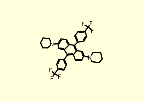 FC(F)(F)c1ccc(-c2c3ccc(N4CCCCC4)cc3c(-c3ccc(C(F)(F)F)cc3)c3ccc(N4CCCCC4)cc23)cc1